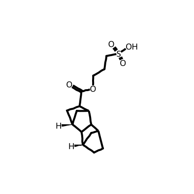 O=C(OCCCS(=O)(=O)O)C1C[C@@H]2CC1C1C3CC[C@@H](C3)C12